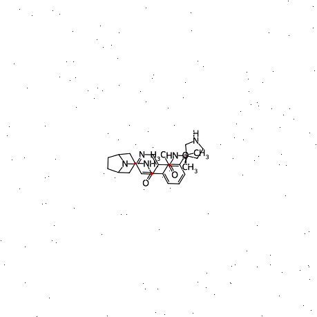 COc1cccc(C(=O)NC2CC3CCC(C2)N3c2ccc(C(=O)N[C@@]3(C)CCNC3)cn2)c1C